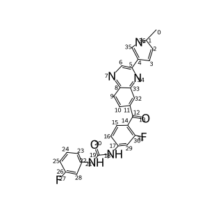 Cc1ccc(-c2cnc3ccc(C(=O)c4ccc(NC(=O)Nc5cccc(F)c5)cc4F)cc3n2)cn1